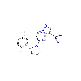 CC(=O)C(=N)c1cnn2ccc(N3CCC[C@@H]3c3cc(F)ccc3C)nc12